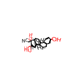 C[C@@H]1Cc2cc(O)ccc2[C@H]2CC[C@@]3(C)[C@@H](C[C@@H](O)[C@@]3(O)CC#N)[C@H]12